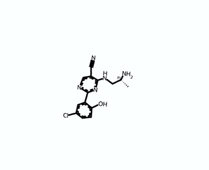 C[C@@H](N)CNc1nc(-c2cc(Cl)ccc2O)ncc1C#N